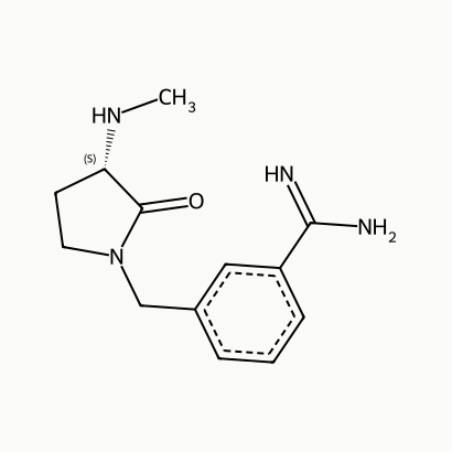 CN[C@H]1CCN(Cc2cccc(C(=N)N)c2)C1=O